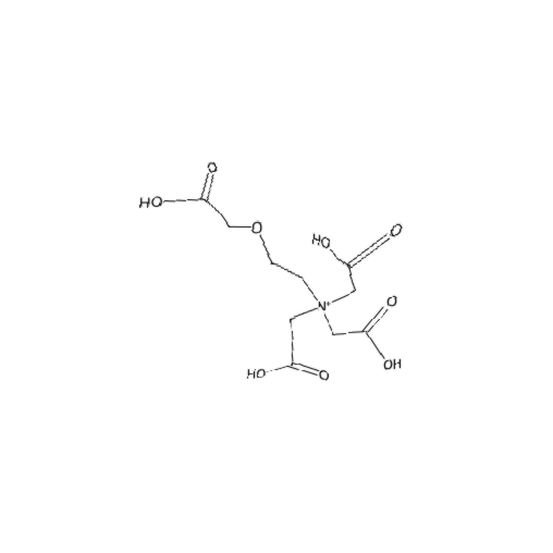 O=C(O)COCC[N+](CC(=O)O)(CC(=O)O)CC(=O)O